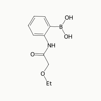 CCOCC(=O)Nc1ccccc1B(O)O